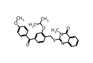 COc1ccc(C(=O)c2ccc(CSc3nc4ccccc4c(=O)n3C)c(OC(C)C)c2)cc1